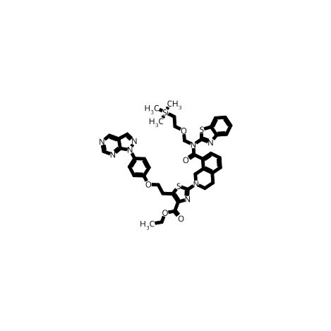 CCOC(=O)c1nc(N2CCc3cccc(C(=O)N(COCC[Si](C)(C)C)c4nc5ccccc5s4)c3C2)sc1CCOc1ccc(-n2ncc3cncnc32)cc1